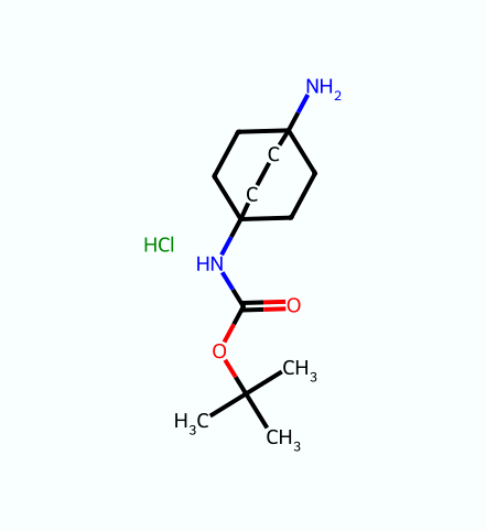 CC(C)(C)OC(=O)NC12CCC(N)(CC1)CC2.Cl